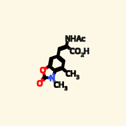 CC(=O)NC(=Cc1cc(C)c2c(c1)oc(=O)n2C)C(=O)O